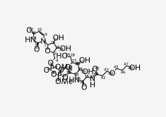 COP(=O)(OCC1OC(n2ccc(=O)[nH]c2=O)C(O)C1O)OP(=O)(OC)O[C@H]1OC(CO)[C@@H](O)[C@H](O)C1NC(=O)CNC(=O)CCOCCCO